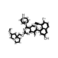 C#Cc1c(F)ccc2cc(O)cc(-c3ncc4c(N5CC6CCCC5CN6)nc(OCC56CCCN5CC(SC)C6)nc4c3F)c12